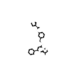 Bc1cnn2c(NCc3cccc(NC(=O)c4ccoc4)c3)cc(-c3ccccc3O)nc12